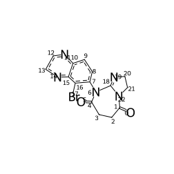 O=C1CCC(=O)N(c2ccc3nccnc3c2Br)C2=NCCN12